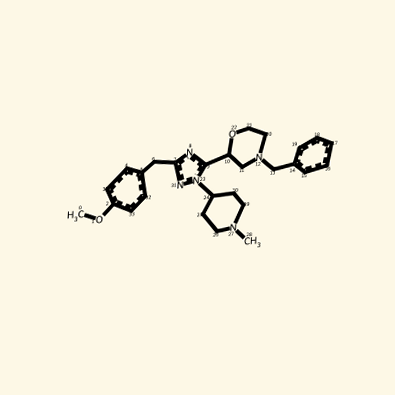 COc1ccc(Cc2nc(C3CN(Cc4ccccc4)CCO3)n(C3CCN(C)CC3)n2)cc1